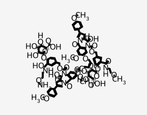 COCCNC(=O)c1cc(COC(=O)N2c3cc(OCCCCCOc4cc5c(cc4OC)C(=O)N4C=C(c6ccc(OC)cc6)C[C@H]4C(O)N5C(=O)OCc4ccc(O[C@@H]5O[C@H](C(=O)O)[C@@H](O)[C@H](O)[C@H]5O)c(C(O)NCCON)c4)c(OC)cc3C(=O)N3C=C(c4ccc(OC)cc4)C[C@H]3C2O)ccc1O[C@@H]1O[C@H](C(=O)O)[C@@H](O)[C@H](O)[C@H]1O